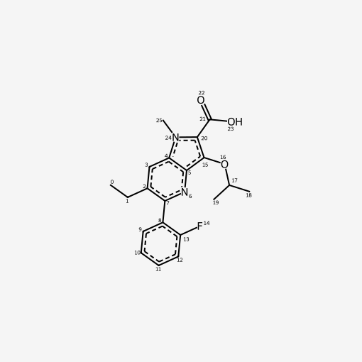 CCc1cc2c(nc1-c1ccccc1F)c(OC(C)C)c(C(=O)O)n2C